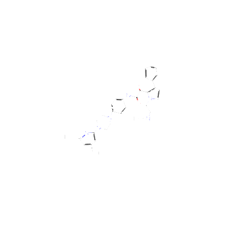 Cc1cc(C)nc(N2CCN(c3ccc(NC(=O)C(=O)c4c(-c5ccccc5)ccn4CCN(C)C)cc3)CC2)c1